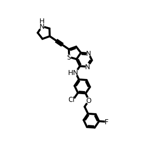 Fc1cccc(COc2ccc(Nc3ncnc4cc(C#CC5CCNC5)sc34)cc2Cl)c1